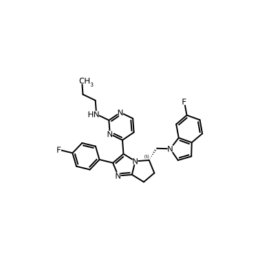 CCCNc1nccc(-c2c(-c3ccc(F)cc3)nc3n2[C@H](Cn2ccc4ccc(F)cc42)CC3)n1